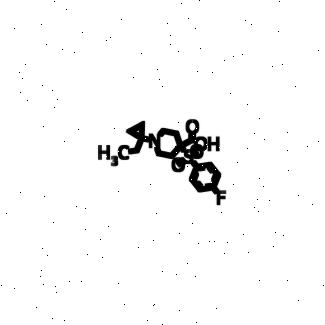 CCC1(N2CCC(C(=O)O)(S(=O)(=O)c3ccc(F)cc3)CC2)CC1